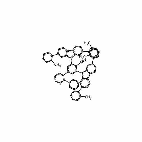 Cc1ccccc1-c1ccc2c3ccc(-c4ccccc4C)cc3n(-c3cc(-c4cccnc4-c4ccccc4)cc(-n4c5cc(-c6ccccc6C)ccc5c5ccc(-c6ccccc6C)cc54)c3C#N)c2c1